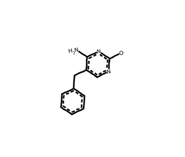 Nc1nc([O])ncc1Cc1ccccc1